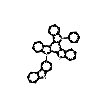 c1ccc(-n2c3ccccc3c3c4c5ccccc5n(-c5ccc6oc7ccccc7c6c5)c4c4sc5ccccc5c4c32)cc1